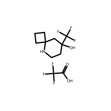 O=C(O)C(F)(F)F.OC1(C(F)(F)F)CCNC2(CCC2)C1